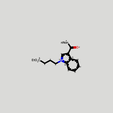 CCCCCCCCCC(=O)c1cn(CCCC(=O)OCC)c2ccccc12